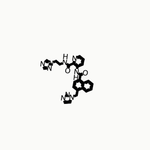 O=C(NCCn1cncn1)c1ncccc1NC(=O)c1ccc(Cn2ccnn2)c2ccccc12